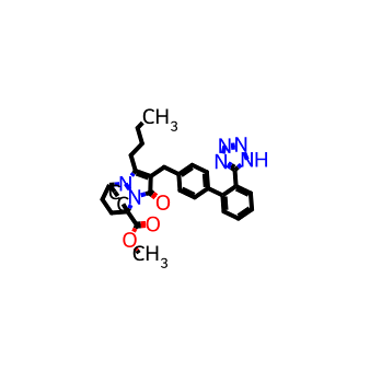 CCCCc1c(Cc2ccc(-c3ccccc3-c3nnn[nH]3)cc2)c(=O)n2n1C1CCC2(C(=O)OC)CC1